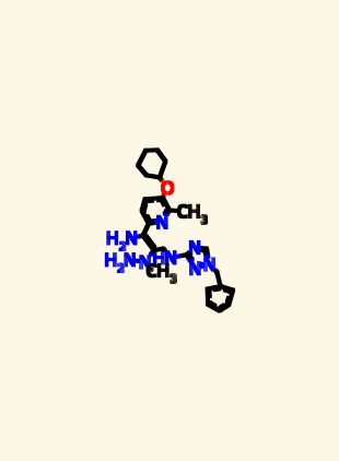 Cc1nc(/C(N)=C(\CNc2ncn(Cc3ccccc3)n2)N(C)N)ccc1OC1CCCCC1